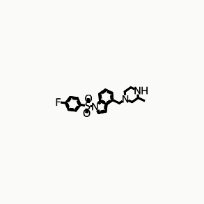 CC1CN(Cc2cccc3c2ccn3S(=O)(=O)c2ccc(F)cc2)CCN1